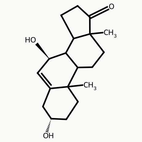 CC12CCC3C(C1CCC2=O)[C@H](O)C=C1C[C@@H](O)CCC13C